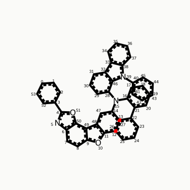 c1ccc(-c2nc3ccc4oc5ccc(N(c6ccccc6-c6ccccc6)c6cccc7c8ccccc8n(-c8ccccc8)c67)cc5c4c3o2)cc1